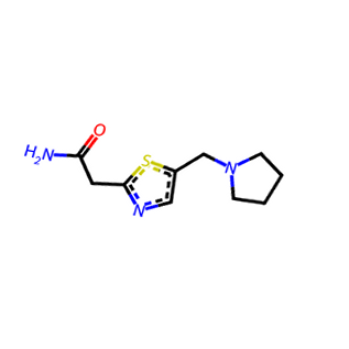 NC(=O)Cc1ncc(CN2CCCC2)s1